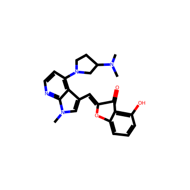 CN(C)C1CCN(c2ccnc3c2c(C=C2Oc4cccc(O)c4C2=O)cn3C)C1